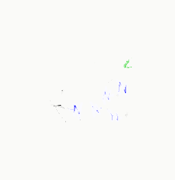 [2H]C([2H])([2H])N1CCN(c2nccc3nc(C(Cl)Cl)cn23)CC1